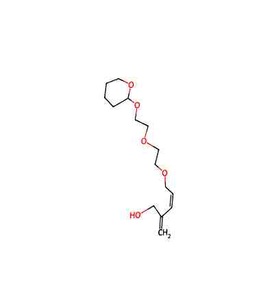 C=C(/C=C\COCCOCCOC1CCCCO1)CO